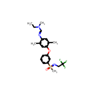 CCN(C)C=Nc1cc(C)c(Oc2cccc(S(C)(=O)=NCC(F)(F)F)c2)cc1C